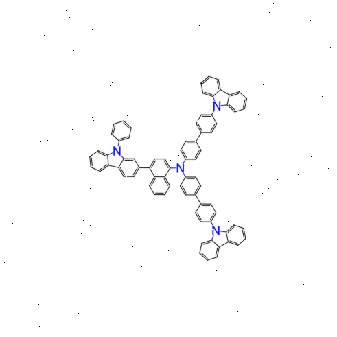 c1ccc(-n2c3ccccc3c3ccc(-c4ccc(N(c5ccc(-c6ccc(-n7c8ccccc8c8ccccc87)cc6)cc5)c5ccc(-c6ccc(-n7c8ccccc8c8ccccc87)cc6)cc5)c5ccccc45)cc32)cc1